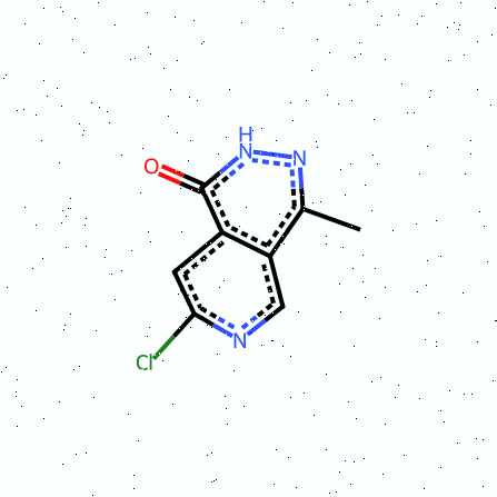 Cc1n[nH]c(=O)c2cc(Cl)ncc12